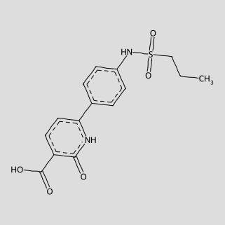 CCCS(=O)(=O)Nc1ccc(-c2ccc(C(=O)O)c(=O)[nH]2)cc1